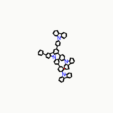 c1ccc(-c2ccc3c(c2)c2cc(-c4ccc(-n5c6ccccc6c6ccccc65)cc4)cc(-c4ccc(-n5c6ccccc6c6ccccc65)cc4)c2n3-c2ccc(-c3ccc(-n4c5ccccc5c5ccccc54)cc3)cc2)cc1